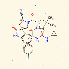 CN(C(=O)C(Cc1ccc(F)cc1)NC(=O)NC1CC1)[C@@H](CC(C)(C)C)C(=O)N1C[C@]2(C[C@H]1C#N)C(=O)Nc1ccccc12